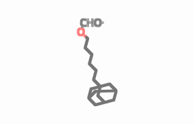 O=[C]OCCCCCCC12CC3CC(CC(C3)C1)C2